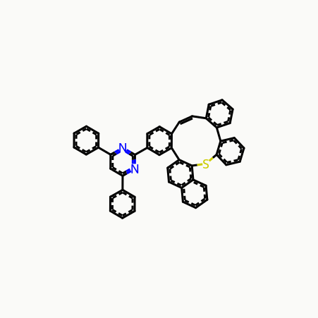 C1=C\c2ccc(-c3nc(-c4ccccc4)cc(-c4ccccc4)n3)cc2-c2ccc3ccccc3c2Sc2ccccc2-c2ccccc2/1